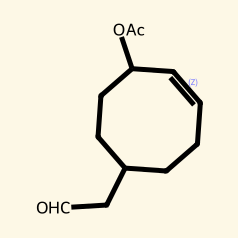 CC(=O)OC1/C=C\CCC(CC=O)CC1